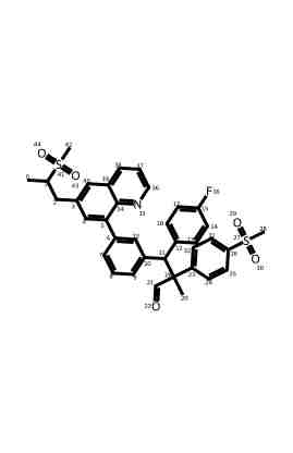 CC(Cc1cc(-c2cccc(C(c3ccc(F)cc3)C(C)(C=O)c3ccc(S(C)(=O)=O)cc3)c2)c2ncccc2c1)S(C)(=O)=O